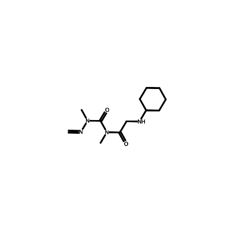 C=NN(C)C(=O)N(C)C(=O)CNC1CCCCC1